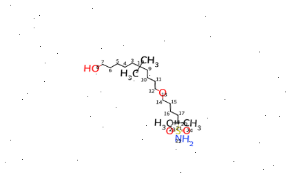 CC(C)(CCCCCO)CCCCOCCCCC(C)(C)S(N)(=O)=O